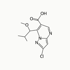 COC(c1c(C(=O)O)cnc2cc(Cl)nn12)C(C)C